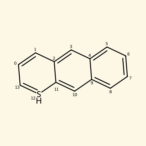 C1=Cc2cc3ccccc3cc2[SH]=C1